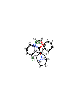 Clc1ccccc1C(c1ccccc1Cl)N1C2CCC1CC(c1ncco1)C2